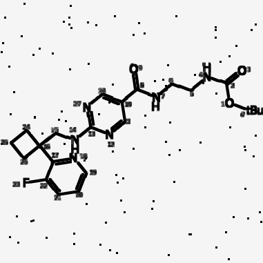 CC(C)(C)OC(=O)NCCNC(=O)c1cnc(NCC2(c3ncccc3F)CCC2)nc1